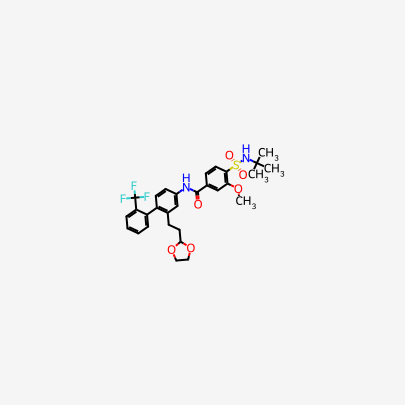 COc1cc(C(=O)Nc2ccc(-c3ccccc3C(F)(F)F)c(CCC3OCCO3)c2)ccc1S(=O)(=O)NC(C)(C)C